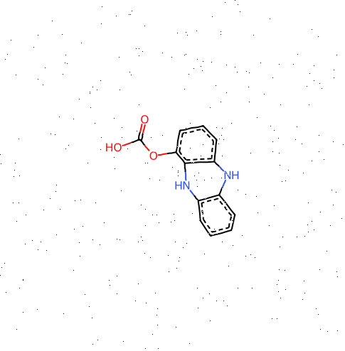 O=C(O)Oc1cccc2c1Nc1ccccc1N2